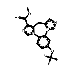 COC(=N)c1ncn2c1Cc1cnnn1-c1cc(OC(F)(F)F)ccc1-2